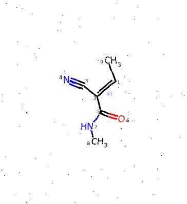 C/C=C(\C#N)C(=O)NC